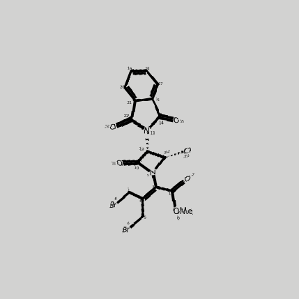 COC(=O)C(=C(CBr)CBr)N1C(=O)[C@H](N2C(=O)c3ccccc3C2=O)[C@@H]1Cl